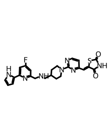 O=C1NC(=O)/C(=C/c2ccnc(N3CCC(CNCc4cc(F)cc(-c5ccc[nH]5)n4)CC3)n2)S1